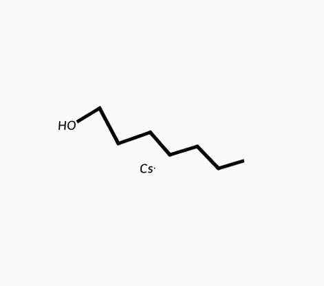 CCCCCCCO.[Cs]